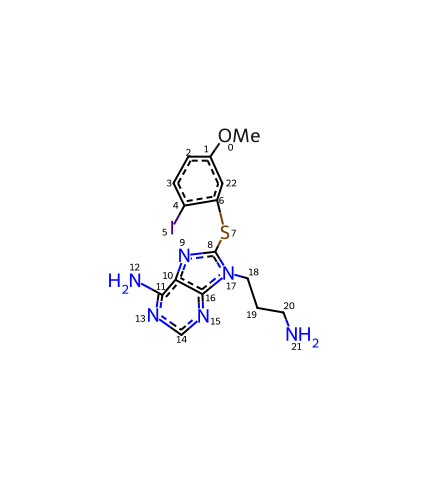 COc1ccc(I)c(Sc2nc3c(N)ncnc3n2CCCN)c1